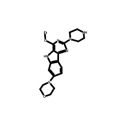 CCOc1nc(N2CCNCC2)nc2c1[nH]c1cc(N3CCOCC3)ccc12